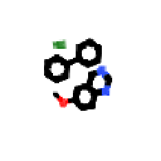 COc1ccc2ncncc2c1.Cl.c1ccc(-c2ccccc2)cc1